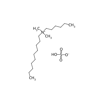 CCCCCCCCCC[N+](C)(C)CCCCCC.O=S(=O)([O-])O